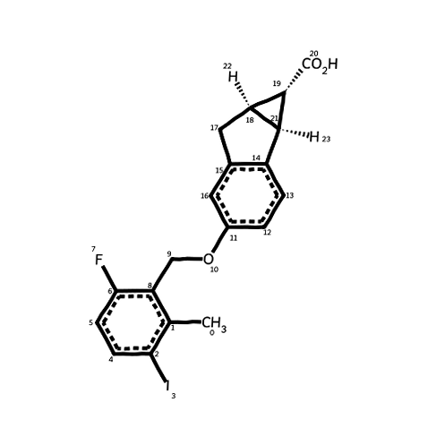 Cc1c(I)ccc(F)c1COc1ccc2c(c1)C[C@H]1[C@H](C(=O)O)[C@@H]21